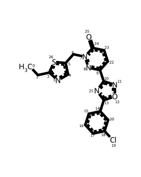 CCc1ncc(Cn2nc(-c3noc(-c4cccc(Cl)c4)n3)ccc2=O)s1